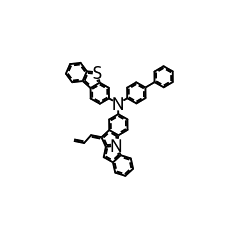 C=C/C=c1/c2cc(N(c3ccc(-c4ccccc4)cc3)c3ccc4c(c3)sc3ccccc34)ccc2n2c1cc1ccccc12